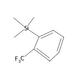 C[Si](C)(C)c1ccccc1C(F)(F)F